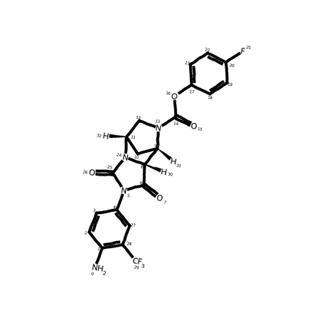 Nc1ccc(N2C(=O)[C@H]3[C@@H]4C[C@@H](CN4C(=O)Oc4ccc(F)cc4)N3C2=O)cc1C(F)(F)F